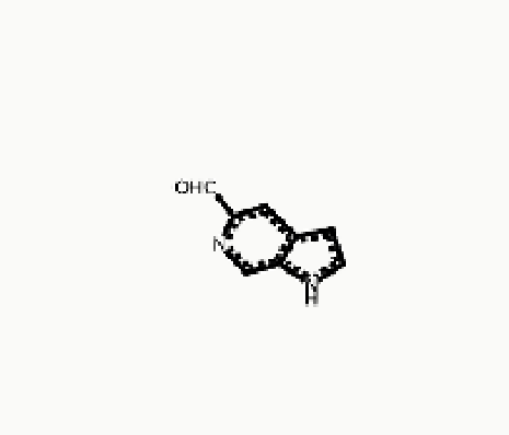 O=[C]c1cc2cc[nH]c2cn1